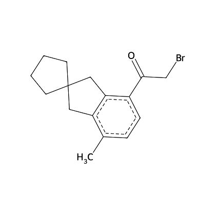 Cc1ccc(C(=O)CBr)c2c1CC1(CCCC1)C2